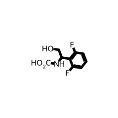 O=C(O)NC(CO)c1c(F)cccc1F